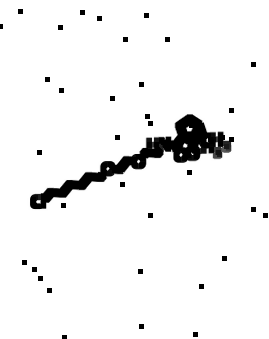 CC1(C)C2CCC1(C(=O)NCCOCCOCCCCCCCl)C(=O)C2